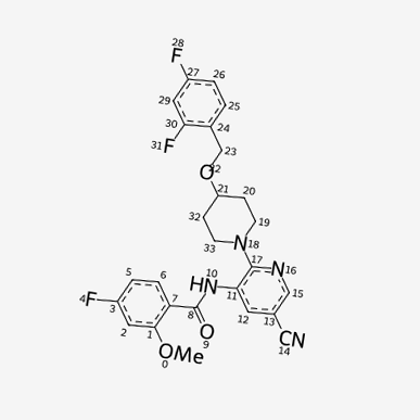 COc1cc(F)ccc1C(=O)Nc1cc(C#N)cnc1N1CCC(OCc2ccc(F)cc2F)CC1